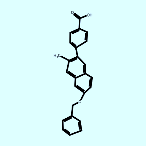 Cc1cc2cc(OCc3ccccc3)ccc2cc1-c1ccc(C(=O)O)cc1